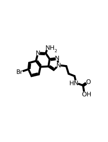 Nc1nc2cc(Br)ccc2c2cn(CCCNC(=O)O)nc12